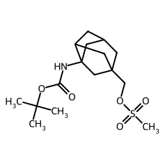 CC(C)(C)OC(=O)NC12CC3CC1CC(COS(C)(=O)=O)(C3)C2